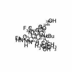 CCNC(=O)Nc1cc(-c2nc(C(F)(F)F)cs2)c(-c2ccc3c(c2)c(=O)c(C(=O)OCCCO)cn3[C@H](CCC(C)(C)[Si](C)(C)O)C(C)(C)C)cn1